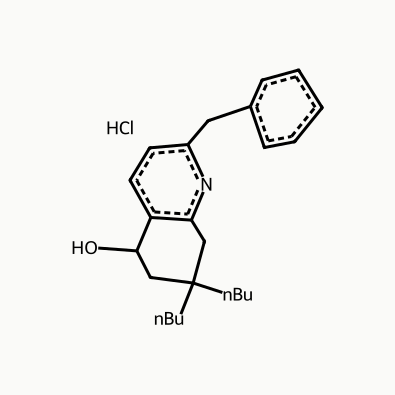 CCCCC1(CCCC)Cc2nc(Cc3ccccc3)ccc2C(O)C1.Cl